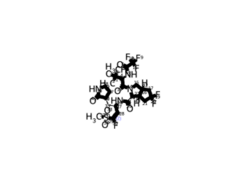 CC(C)(C)[C@@H](NC(=O)C(F)(F)F)C(=O)N1C[C@@H]2CC(F)(F)C[C@@H]2[C@@H]1C(=O)N[C@H](/C=C(/F)S(C)(=O)=O)C[C@H]1CCNC1=O